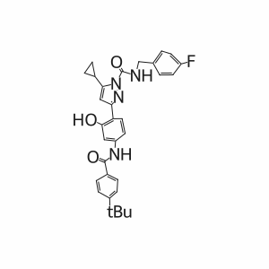 CC(C)(C)c1ccc(C(=O)Nc2ccc(-c3cc(C4CC4)n(C(=O)NCc4ccc(F)cc4)n3)c(O)c2)cc1